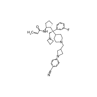 C=CC(=O)N[C@H]1CCC[C@@H]1[C@](CN1CCC1)(c1cccc(F)c1)C1CCN(CC2CN(c3ccc(C#N)cc3)C2)CC1